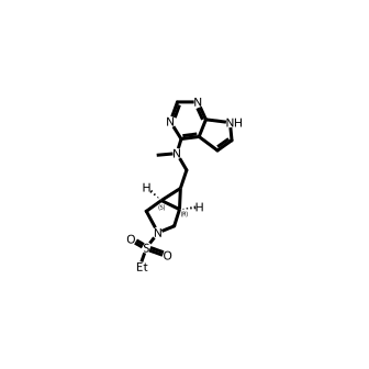 CCS(=O)(=O)N1C[C@@H]2C(CN(C)c3ncnc4[nH]ccc34)[C@@H]2C1